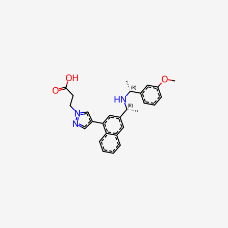 COc1cccc([C@@H](C)N[C@H](C)c2cc(-c3cnn(CCC(=O)O)c3)c3ccccc3c2)c1